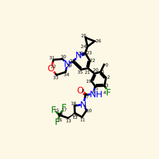 Cc1cc(F)c(NC(=O)N2CC[C@@H](CC(F)(F)F)C2)cc1-c1cc(C2CC2)nc(N2CCOCC2)c1